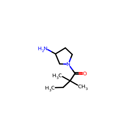 CCC(C)(C)C(=O)N1CCC(N)C1